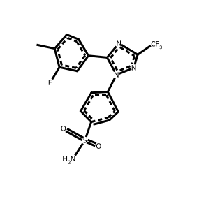 Cc1ccc(-c2nc(C(F)(F)F)nn2-c2ccc(S(N)(=O)=O)cc2)cc1F